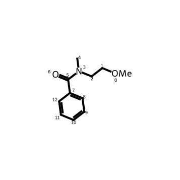 COCCN(C)C(=O)c1ccccc1